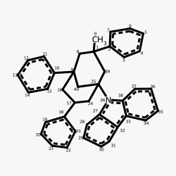 CC1(c2ccccc2)CC2(c3ccccc3)CC(c3ccccc3)CC(n3c4ccccc4c4ccccc43)(C1)C2